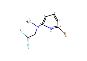 CN(CC(F)F)c1cccc(Br)n1